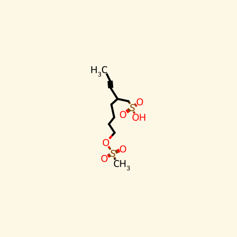 CC#CC(CCCCOS(C)(=O)=O)CS(=O)(=O)O